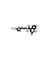 Cc1csc(CCCNC(=O)c2cc(=O)[nH]c3ccccc23)n1